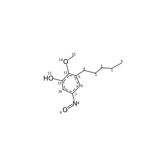 CCCCCc1cc(N=O)cc(O)c1OC